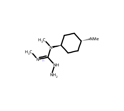 C/N=C(/NN)N(C)[C@H]1CC[C@H](NC)CC1